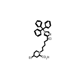 CCC1CCN(CCCCCc2cn(C(c3ccccc3)(c3ccccc3)c3ccccc3)cn2)C(C(=O)O)C1.Cl